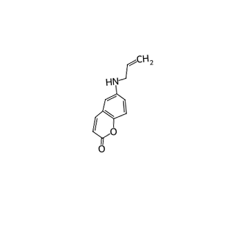 C=CCNc1ccc2oc(=O)ccc2c1